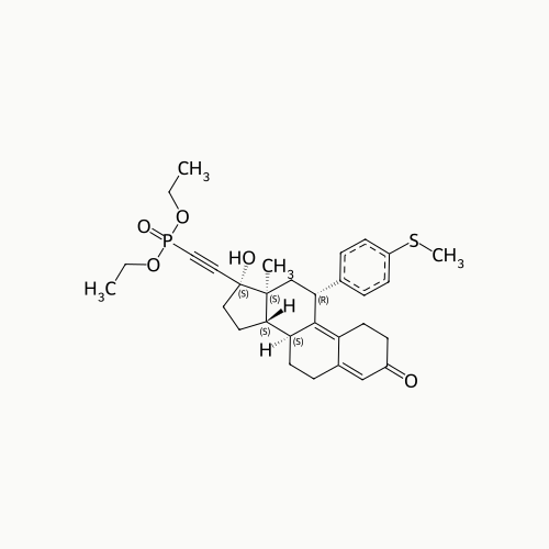 CCOP(=O)(C#C[C@]1(O)CC[C@H]2[C@@H]3CCC4=CC(=O)CCC4=C3[C@@H](c3ccc(SC)cc3)C[C@@]21C)OCC